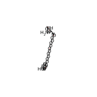 CCC(C)NC(=O)C1=Cc2sc(CC3CN(C(=O)CCOCCOCCOCCOCCOCCOCCOCCOCCOCCOCCC(=O)Oc4c(F)c(F)c(S(=O)(=O)O)c(F)c4F)C3)cc2N=C(N)C1